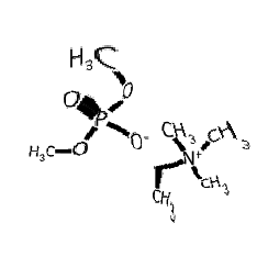 CC[N+](C)(C)C.COP(=O)([O-])OC